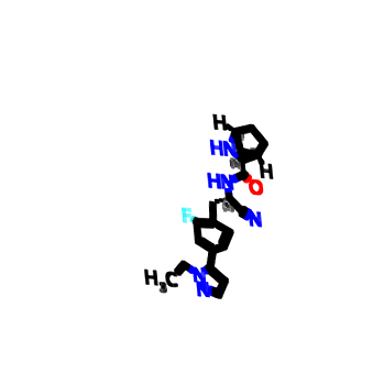 CCn1nccc1-c1ccc(C[C@@H](C#N)NC(=O)[C@H]2N[C@@H]3CC[C@H]2C3)c(F)c1